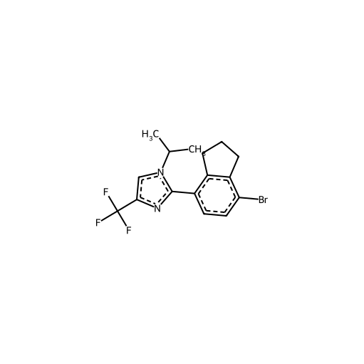 CC(C)n1cc(C(F)(F)F)nc1-c1ccc(Br)c2c1CCC2